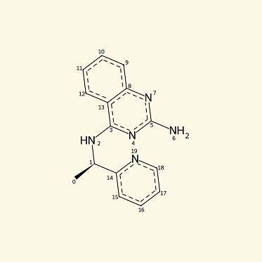 C[C@@H](Nc1nc(N)nc2ccccc12)c1ccccn1